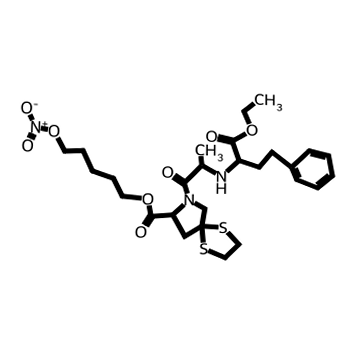 CCOC(=O)C(CCc1ccccc1)NC(C)C(=O)N1CC2(CC1C(=O)OCCCCCO[N+](=O)[O-])SCCS2